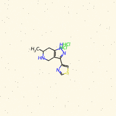 CC1Cc2[nH]nc(-c3cscn3)c2CN1.Cl.Cl